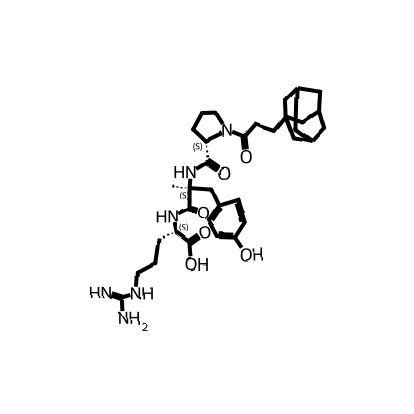 C[C@@](Cc1ccc(O)cc1)(NC(=O)[C@@H]1CCCN1C(=O)CCC12CC3CC(CC(C3)C1)C2)C(=O)N[C@@H](CCCNC(=N)N)C(=O)O